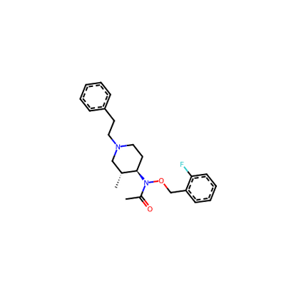 CC(=O)N(OCc1ccccc1F)[C@@H]1CCN(CCc2ccccc2)C[C@H]1C